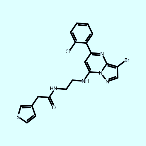 O=C(Cc1ccsc1)NCCNc1cc(-c2ccccc2Cl)nc2c(Br)cnn12